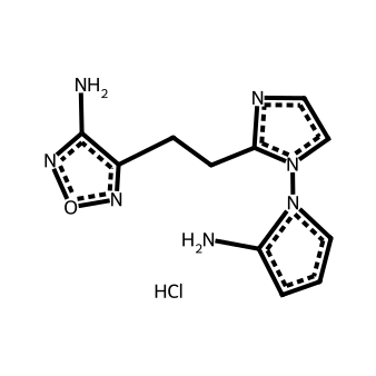 Cl.Nc1nonc1CCc1nccn1-n1cccc1N